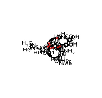 CN[C@@H](CC(C)C)C(=O)N[C@H]1C(=O)N[C@@H](CC(N)=O)C(=O)N[C@H]2C(=O)N[C@H]3C(=O)N[C@H](C(=O)N[C@@H](C(=O)O)c4cc(O)cc(O)c4-c4cc3ccc4O)[C@H](O)c3ccc(c(Cl)c3)Oc3cc2cc(c3OC2OC(CSc3nc(C)cc(O)n3)C(O)C(O)C2OC2CC(C)(N)C(O)C(C)O2)Oc2ccc(cc2Cl)[C@H]1O